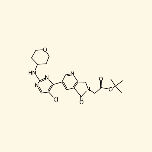 CC(C)(C)OC(=O)CN1Cc2ncc(-c3nc(NC4CCOCC4)ncc3Cl)cc2C1=O